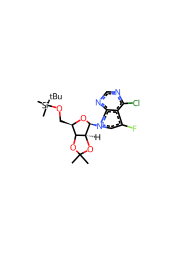 CC1(C)OC2[C@@H](CO[Si](C)(C)C(C)(C)C)O[C@@H](n3cc(F)c4c(Cl)ncnc43)[C@H]2O1